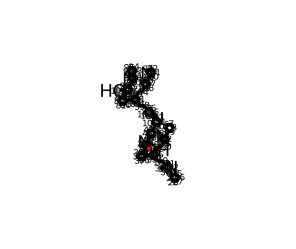 Cc1cc(-c2ccccc2)ncc1CCc1cc(CCc2cnc(-c3ccccc3)cc2C)cc(-c2ccccc2-c2cnc(-c3ccc(-c4ccnc(-c5ccc(CCc6cc(CCc7ccc(-c8ccccn8)cc7)cc(-c7ccccc7-c7ccc(-c8ccc9ccccc9n8)cc7O)c6)cc5)c4)cc3)cc2O)c1